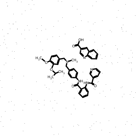 COc1ccc(CN(C)Cc2ccc(NC(=O)c3ccccc3NC(=O)c3cccnc3)cc2)cc1OC(C)C.O=C(O)c1cnc2ccccc2c1